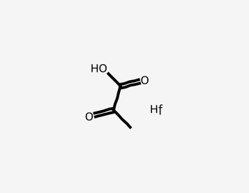 CC(=O)C(=O)O.[Hf]